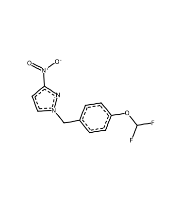 O=[N+]([O-])c1ccn(Cc2ccc(OC(F)F)cc2)n1